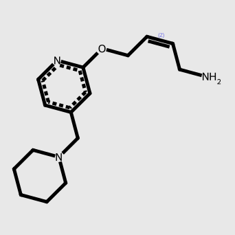 NC/C=C\COc1cc(CN2CCCCC2)ccn1